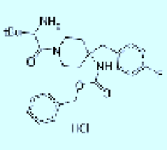 CC(C)(C)C(N)C(=O)N1CCC(Cc2ccc(F)cc2)(NC(=O)OCc2ccccc2)CC1.Cl